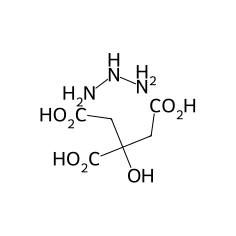 NNN.O=C(O)CC(O)(CC(=O)O)C(=O)O